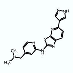 CN(C)Cc1ccnc(Nc2nc3ccc(-c4cn[nH]c4)nc3s2)c1